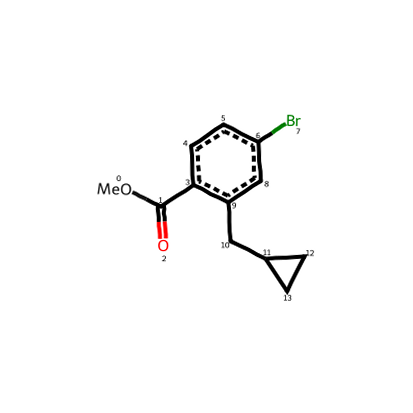 COC(=O)c1ccc(Br)cc1CC1CC1